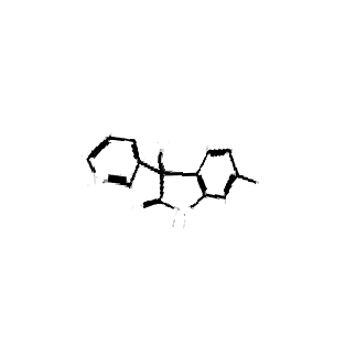 O=C1Nc2cc(Cl)ccc2C1(O)c1cccnc1